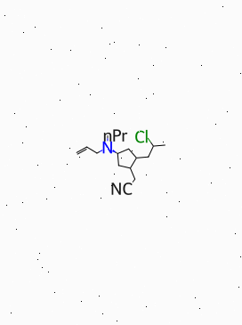 C=CCN(CCC)[C@@H]1CC(CC#N)C(CC(C)Cl)C1